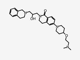 CN(C)CCOC1CCN(c2ccc3c(c2)CCN(CC(O)CN2CCc4ccccc4C2)C3=O)CC1